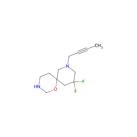 CC#CCN1CC(F)(F)CC2(CCNCO2)C1